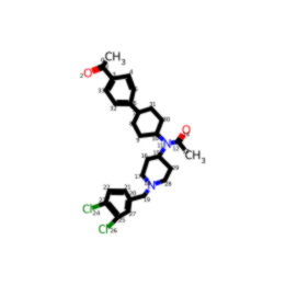 CC(=O)c1ccc(C2CCC(N(C(C)=O)C3CCN(Cc4ccc(Cl)c(Cl)c4)CC3)CC2)cc1